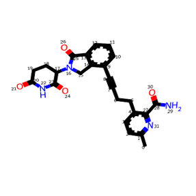 Cc1ccc(CCC#Cc2cccc3c2CN(C2CCC(=O)NC2=O)C3=O)c(C(N)=O)n1